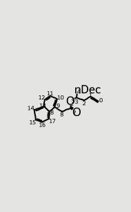 C=CCC(CCCCCCCCCC)OC(=O)Cc1cccc2ccccc12